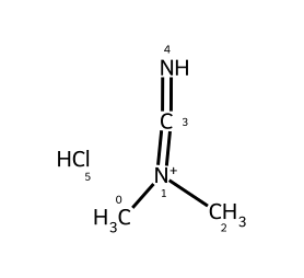 C[N+](C)=C=N.Cl